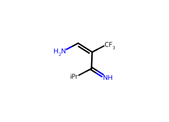 CC(C)C(=N)/C(=C\N)C(F)(F)F